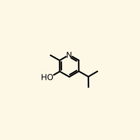 Cc1ncc(C(C)C)cc1O